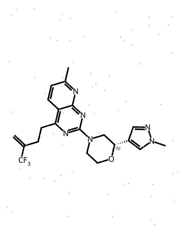 C=C(CCc1nc(N2CCO[C@@H](c3cnn(C)c3)C2)nc2nc(C)ccc12)C(F)(F)F